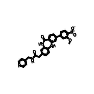 COc1cc(-c2ccc3c(c2)Nc2ccc(CC(=O)NCc4ccncc4)cc2NC3=O)ccc1[N+](=O)[O-]